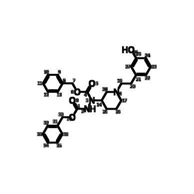 O=C(NN(C(=O)OCc1ccccc1)C1CCCN(CCc2cccc(O)c2)C1)OCc1ccccc1